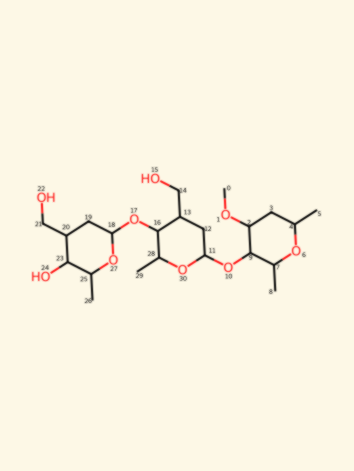 COC1CC(C)OC(C)C1OC1CC(CO)C(OC2CC(CO)C(O)C(C)O2)C(C)O1